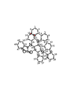 c1ccc(-c2ccccc2B2c3ccccc3N3c4c(cc([Si](c5ccccc5)(c5ccccc5)c5ccccc5)cc42)Oc2oc4ccccc4c23)cc1